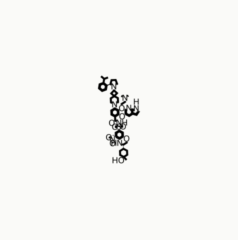 CC(C)c1ccccc1[C@H]1CCCN1C1CC2(CCN(c3ccc(C(=O)NS(=O)(=O)c4cc5c(c([N+](=O)[O-])c4)N[C@@H](C4CCC(C)(O)CC4)CO5)c(Oc4cc5cc[nH]c5nc4OCCN(C)C)c3)CC2)C1